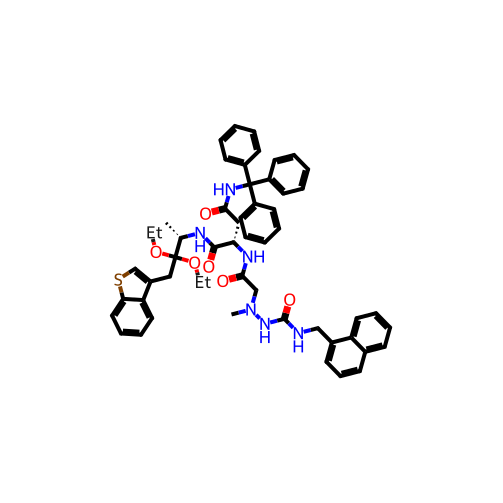 CCOC(Cc1csc2ccccc12)(OCC)[C@H](C)NC(=O)[C@H](CC(=O)NC(c1ccccc1)(c1ccccc1)c1ccccc1)NC(=O)CN(C)NC(=O)NCc1cccc2ccccc12